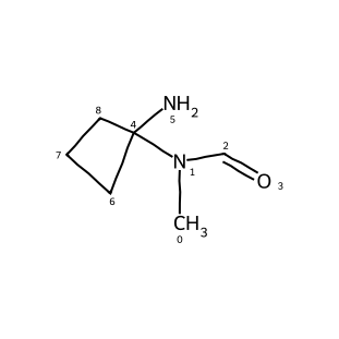 CN(C=O)C1(N)CCC1